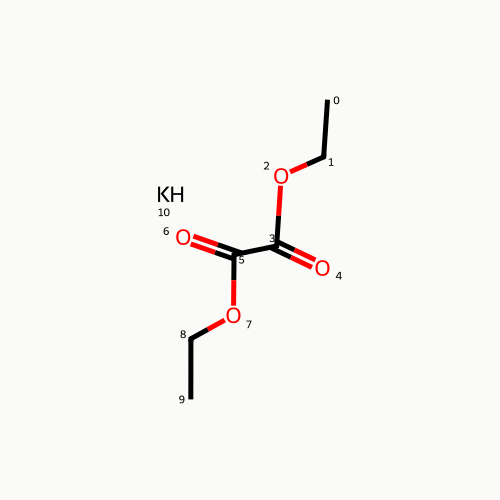 CCOC(=O)C(=O)OCC.[KH]